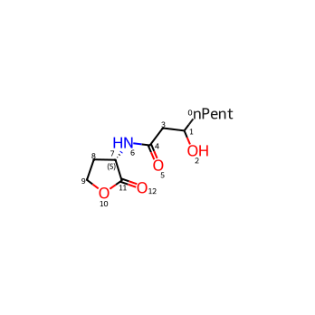 CCCCCC(O)CC(=O)N[C@H]1CCOC1=O